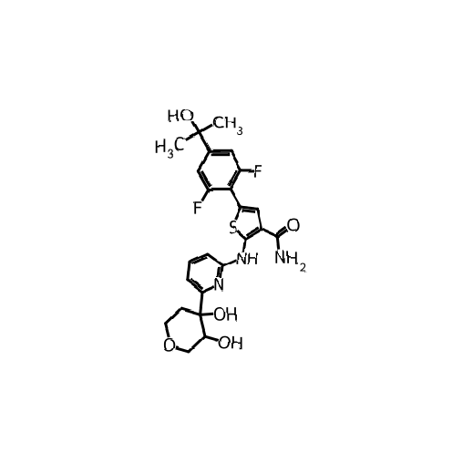 CC(C)(O)c1cc(F)c(-c2cc(C(N)=O)c(Nc3cccc(C4(O)CCOCC4O)n3)s2)c(F)c1